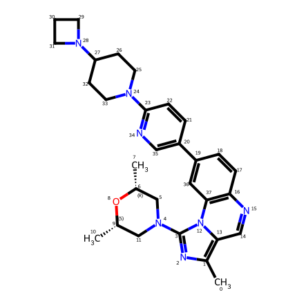 Cc1nc(N2C[C@@H](C)O[C@@H](C)C2)n2c1cnc1ccc(-c3ccc(N4CCC(N5CCC5)CC4)nc3)cc12